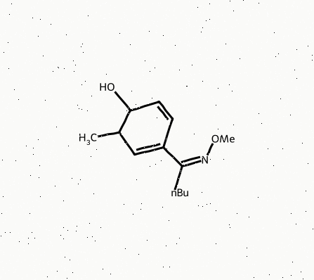 CCCC/C(=N/OC)C1=CC(C)C(O)C=C1